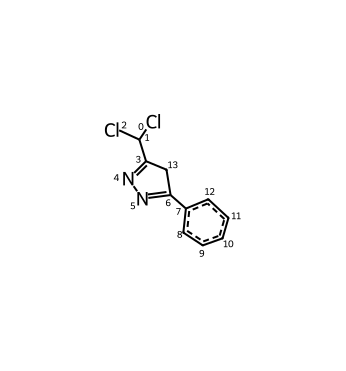 ClC(Cl)C1=NN=C(c2ccccc2)C1